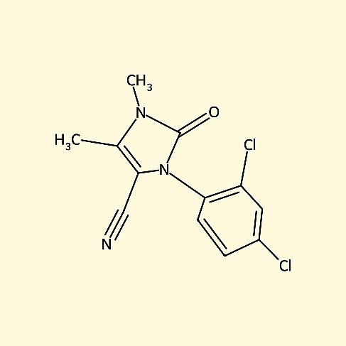 Cc1c(C#N)n(-c2ccc(Cl)cc2Cl)c(=O)n1C